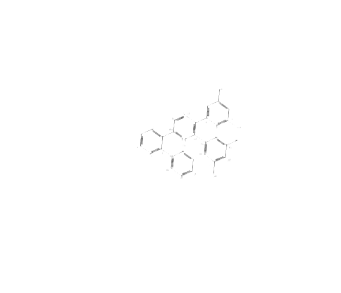 Cc1cc(C)cc(-c2ncc(-c3ccccc3-c3ccccc3)nc2-c2cc(C)cc(C)c2)c1